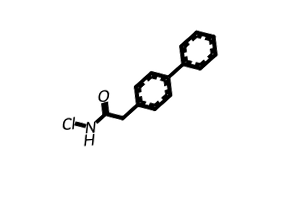 O=C(Cc1ccc(-c2ccccc2)cc1)NCl